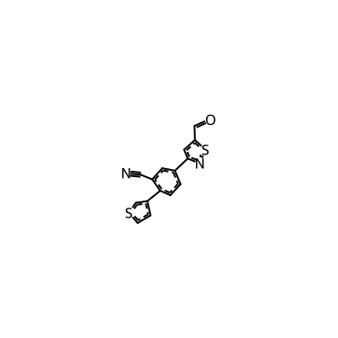 N#Cc1cc(-c2cc(C=O)sn2)ccc1-c1ccsc1